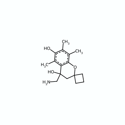 Cc1c(C)c2c(c(C)c1O)C(O)(CN)CC1(CCC1)O2